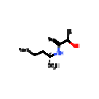 CCC(O)C(=[Se])N[C@@H](CCSC)C(=O)O